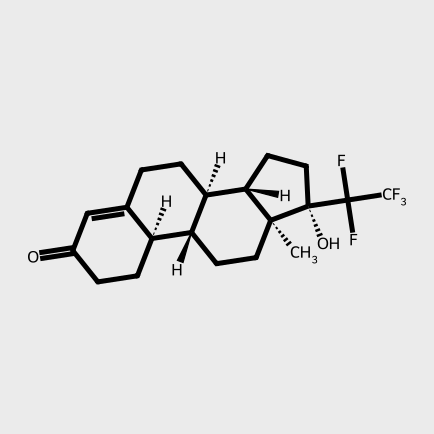 C[C@]12CC[C@H]3[C@@H](CCC4=CC(=O)CC[C@@H]43)[C@@H]1CC[C@@]2(O)C(F)(F)C(F)(F)F